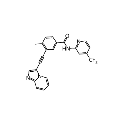 Cc1ccc(C(=O)Nc2cc(C(F)(F)F)ccn2)cc1C#Cc1cnc2ccccn12